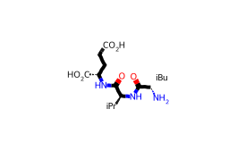 CC[C@H](C)[C@H](N)C(=O)N[C@H](C(=O)N[C@@H](CCC(=O)O)C(=O)O)C(C)C